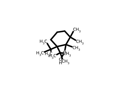 CC(C)(C)C1(C(C)(C)C)CCCC(C)(C)C1(C)OO